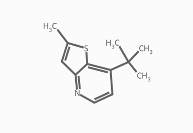 Cc1cc2nccc(C(C)(C)C)c2s1